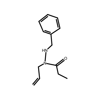 C=CCN(NCc1ccccc1)C(=O)CC